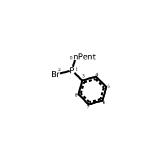 CCCCCP(Br)c1ccccc1